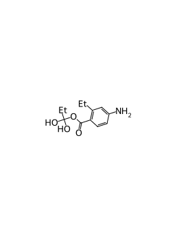 CCc1cc(N)ccc1C(=O)OC(O)(O)CC